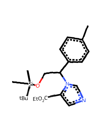 CCOC(=O)c1cncn1C(CO[Si](C)(C)C(C)(C)C)c1ccc(C)cc1